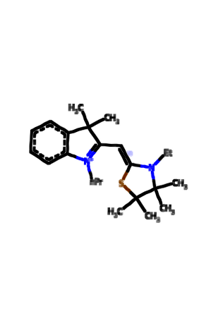 CCC[N+]1=C(/C=C2\SC(C)(C)C(C)(C)N2CC)C(C)(C)c2ccccc21